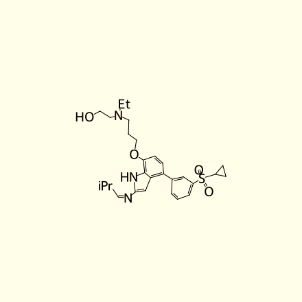 CCN(CCO)CCCOc1ccc(-c2cccc(S(=O)(=O)C3CC3)c2)c2cc(/N=C\C(C)C)[nH]c12